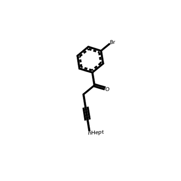 CCCCCCCC#CCC(=O)c1cccc(Br)c1